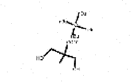 CC(CO)(CO)C(=O)[O-].CCCC[N+](CCCC)(CCCC)CCCC